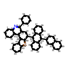 c1ccc(-c2nc3ccccc3c3c2cc(-c2c4ccccc4c(-c4ccc5ccccc5c4)c4ccccc24)c2sc4ccccc4c23)cc1